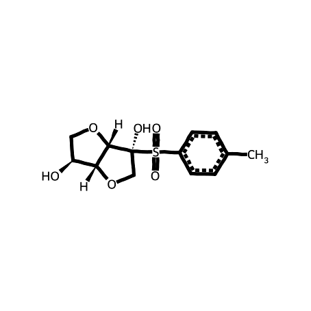 Cc1ccc(S(=O)(=O)[C@@]2(O)CO[C@@H]3[C@@H](O)CO[C@@H]32)cc1